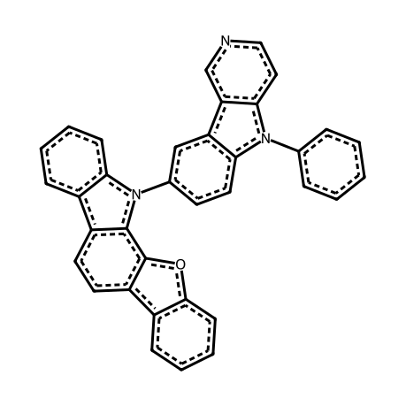 c1ccc(-n2c3ccncc3c3cc(-n4c5ccccc5c5ccc6c7ccccc7oc6c54)ccc32)cc1